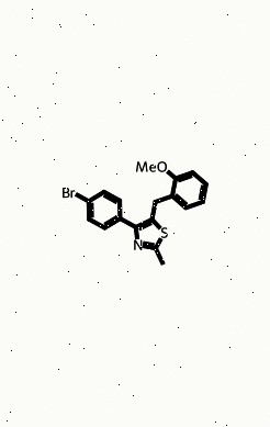 COc1ccccc1Cc1sc(C)nc1-c1ccc(Br)cc1